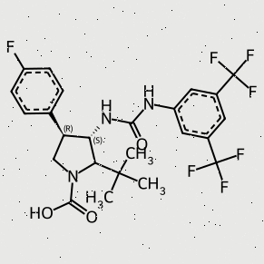 CC(C)(C)C1[C@@H](NC(=O)Nc2cc(C(F)(F)F)cc(C(F)(F)F)c2)[C@H](c2ccc(F)cc2)CN1C(=O)O